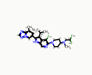 Cc1cc(-c2[nH]c3cnc(N4CCC(N(C)CC(F)F)CC4)c(F)c3c2C(C)C)cn2ncnc12